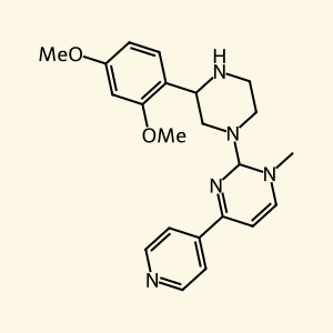 COc1ccc(C2CN(C3N=C(c4ccncc4)C=CN3C)CCN2)c(OC)c1